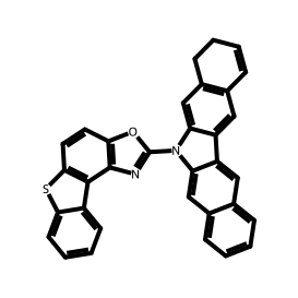 C1=Cc2cc3c4cc5ccccc5cc4n(-c4nc5c(ccc6sc7ccccc7c65)o4)c3cc2CC1